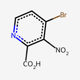 O=C(O)c1nccc(Br)c1[N+](=O)[O-]